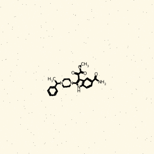 COC(=O)C(=O)c1c(N2CCN(C(C)c3ccccc3)CC2)[nH]c2ccc(C(N)=O)cc12